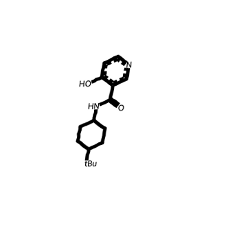 CC(C)(C)C1CCC(NC(=O)c2cnccc2O)CC1